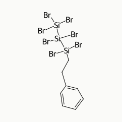 Br[Si](Br)(Br)[Si](Br)(Br)[Si](Br)(Br)CCc1ccccc1